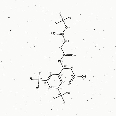 CC(C)(C)OC(=O)NCC(=O)NC(CC(=O)O)c1cc(C(C)(C)C)cc(C(C)(C)C)c1